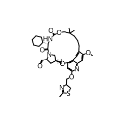 COc1cc2nc(OCC3CSC(C)=N3)cc3c2cc1CCCC(C)(C)COC(=O)N[C@@H](C1CCCCC1)C(=O)N1C[C@@H](C[C@H]1C=O)O3